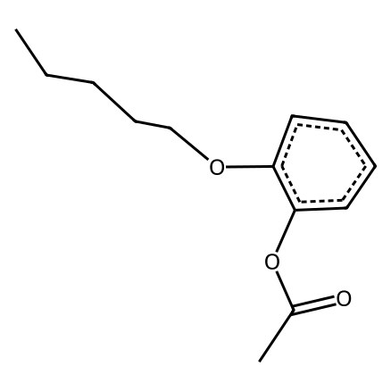 CCCCCOc1ccccc1OC(C)=O